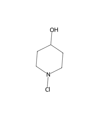 OC1CCN(Cl)CC1